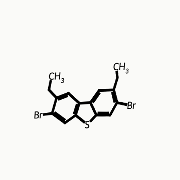 CCc1cc2c(cc1Br)sc1cc(Br)c(CC)cc12